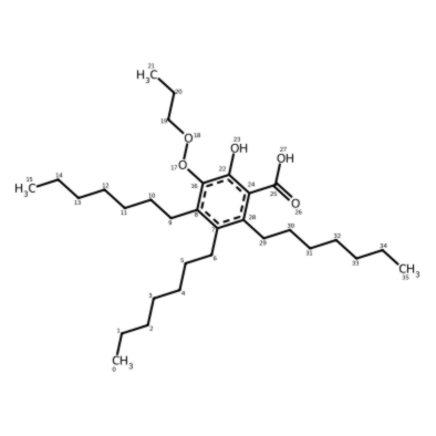 CCCCCCCc1c(CCCCCCC)c(OOCCC)c(O)c(C(=O)O)c1CCCCCCC